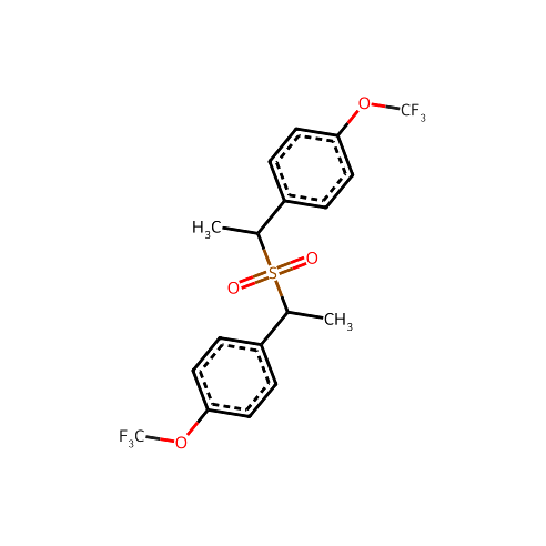 CC(c1ccc(OC(F)(F)F)cc1)S(=O)(=O)C(C)c1ccc(OC(F)(F)F)cc1